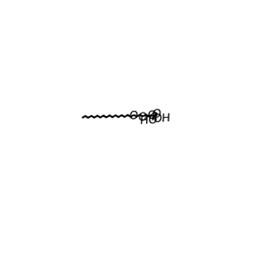 CCCCCCCCCCCCCCCCCOCCOCCOP(=O)(O)O